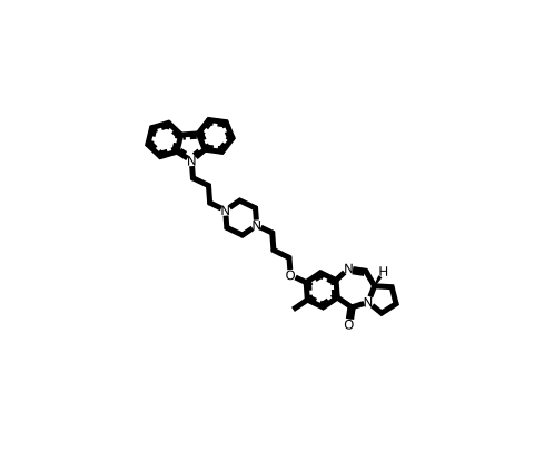 Cc1cc2c(cc1OCCCN1CCN(CCCn3c4ccccc4c4ccccc43)CC1)N=C[C@@H]1CCCN1C2=O